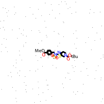 COC(=O)c1ccc(CN(c2nc3c(s2)CN(C(=O)OC(C)(C)C)CC3)S(C)(=O)=O)cc1